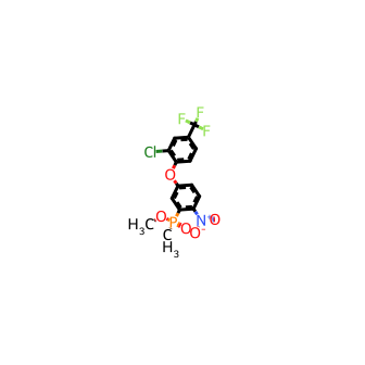 COP(C)(=O)c1cc(Oc2ccc(C(F)(F)F)cc2Cl)ccc1[N+](=O)[O-]